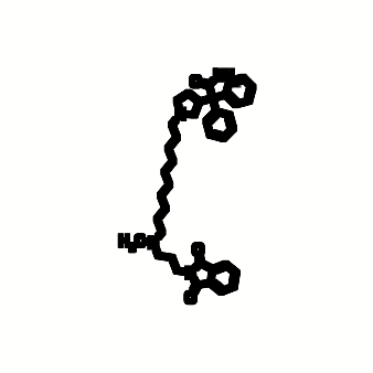 CN(CCCCCCCCCCN1CCC(C(C(N)=O)(c2ccccc2)c2ccccc2)C1)CCCN1C(=O)c2ccccc2C1=O